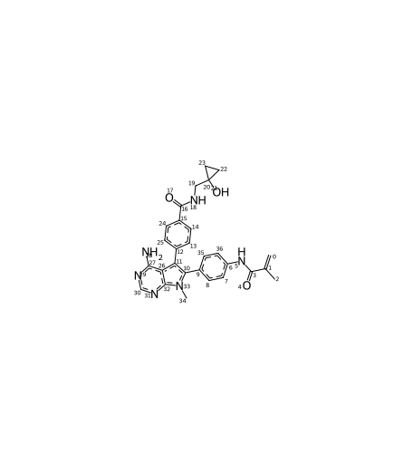 C=C(C)C(=O)Nc1ccc(-c2c(-c3ccc(C(=O)NCC4(O)CC4)cc3)c3c(N)ncnc3n2C)cc1